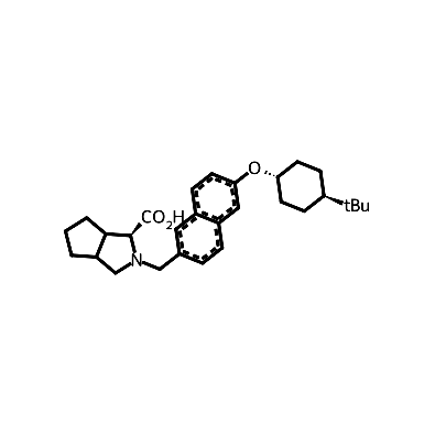 CC(C)(C)[C@H]1CC[C@H](Oc2ccc3cc(CN4CC5CCCC5[C@H]4C(=O)O)ccc3c2)CC1